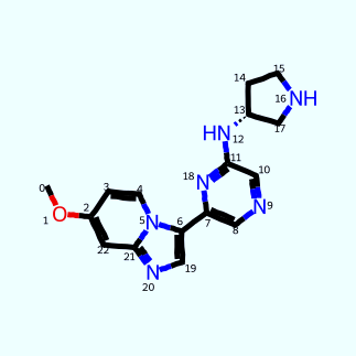 COc1ccn2c(-c3cncc(N[C@@H]4CCNC4)n3)cnc2c1